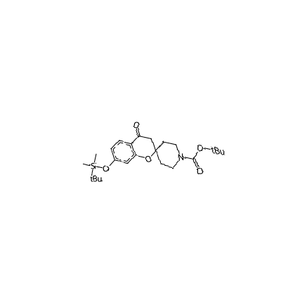 CC(C)(C)OC(=O)N1CCC2(CC1)CC(=O)c1ccc(O[Si](C)(C)C(C)(C)C)cc1O2